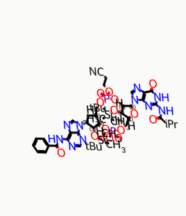 CC(C)C(=O)Nc1nc2c(ncn2[C@@H]2O[C@@H]3COP(=O)(O)O[C@@H]4[C@@H](COP(=O)(OCCC#N)O[C@@H]2[C@@H]3O[Si](C)(C)C(C)(C)C)C[C@@H](n2cnc3c(NC(=O)c5ccccc5)ncnc32)[C@@H]4O[Si](C)(C)C(C)(C)C)c(=O)[nH]1